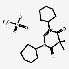 CC1(C)C(=O)N(C2CCCCC2)C=[N+](C2CCCCC2)C1=O.O=S(=O)([O-])C(F)(F)F